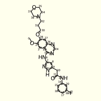 COc1cc2c(Nc3cc(CC(=O)Nc4cccc(F)c4)[nH]n3)ncnc2cc1OCCCN1CCOCC1